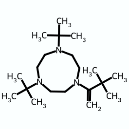 C=C(N1CCN(C(C)(C)C)CCN(C(C)(C)C)CC1)C(C)(C)C